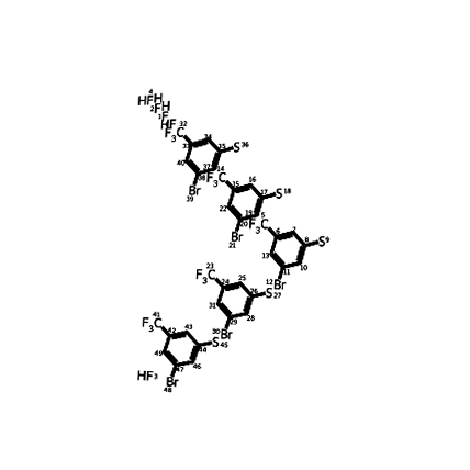 F.F.F.F.F.FC(F)(F)c1cc([S])cc(Br)c1.FC(F)(F)c1cc([S])cc(Br)c1.FC(F)(F)c1cc([S])cc(Br)c1.FC(F)(F)c1cc([S])cc(Br)c1.FC(F)(F)c1cc([S])cc(Br)c1